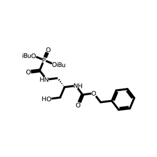 CC(C)COP(=O)(OCC(C)C)C(=O)NC[C@@H](CO)NC(=O)OCc1ccccc1